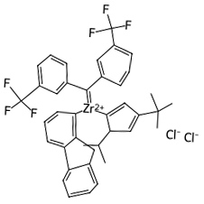 CC(C)C1C=C(C(C)(C)C)C=[C]1[Zr+2](=[C](c1cccc(C(F)(F)F)c1)c1cccc(C(F)(F)F)c1)[c]1cccc2c1Cc1ccccc1-2.[Cl-].[Cl-]